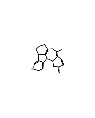 O=C1C=CC2=C(Cl)NC3=C4C(CCC3)C3=CNCC=C3N4C2C1